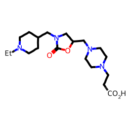 CCN1CCC(CN2CC(CN3CCN(CCC(=O)O)CC3)OC2=O)CC1